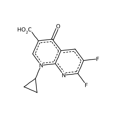 O=C(O)c1cn(C2CC2)c2nc(F)c(F)cc2c1=O